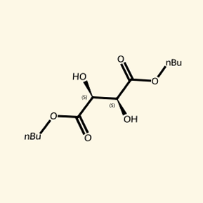 CCCCOC(=O)[C@@H](O)[C@H](O)C(=O)OCCCC